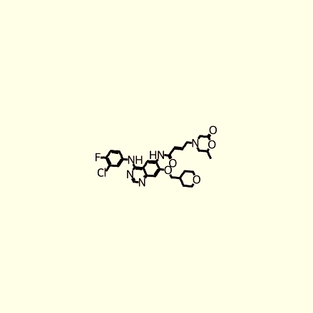 CC1CN(CC=CC(=O)Nc2cc3c(Nc4ccc(F)c(Cl)c4)ncnc3cc2OCC2CCOCC2)CC(=O)O1